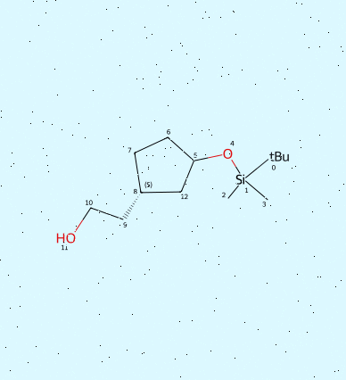 CC(C)(C)[Si](C)(C)OC1CC[C@@H](CCO)C1